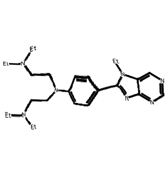 CCN(CC)CCN(CCN(CC)CC)c1ccc(-c2nc3ncncc3n2CC)cc1